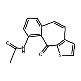 CC(=O)Nc1cccc2ccc3ccsc3c(=O)c12